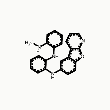 CN(F)c1ccccc1Nc1ccccc1Nc1ccc2oc3ncccc3c2c1